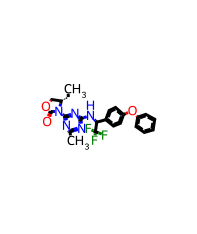 CC[C@H]1COC(=O)N1c1nc(C)nc(NC(c2ccc(Oc3ccccc3)cc2)C(F)(F)F)n1